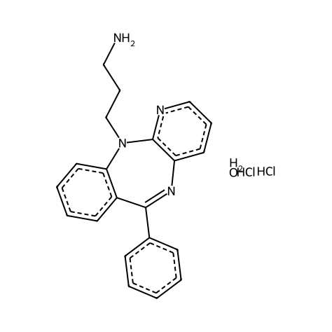 Cl.Cl.NCCCN1c2ccccc2C(c2ccccc2)=Nc2cccnc21.O